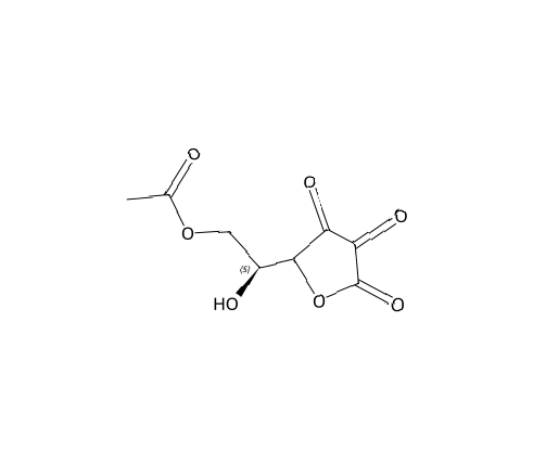 CC(=O)OC[C@H](O)C1OC(=O)C(=O)C1=O